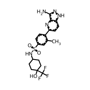 Cc1cc(S(=O)(=O)NC2CCC(O)(C(F)(F)F)CC2)ccc1-c1ccc2[nH]nc(N)c2n1